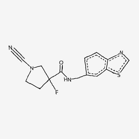 N#CN1CCC(F)(C(=O)Nc2ccc3ncsc3c2)C1